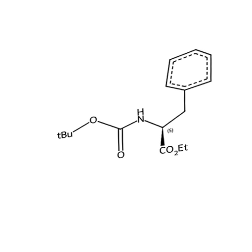 CCOC(=O)[C@H](Cc1ccccc1)NC(=O)OC(C)(C)C